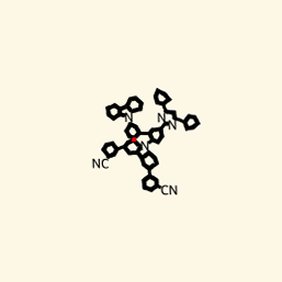 N#Cc1cccc(-c2ccc3c(c2)c2cc(-c4cccc(C#N)c4)ccc2n3-c2ccc(-c3nc(-c4ccccc4)cc(-c4ccccc4)n3)cc2-c2cccc(-n3c4ccccc4c4ccccc43)c2)c1